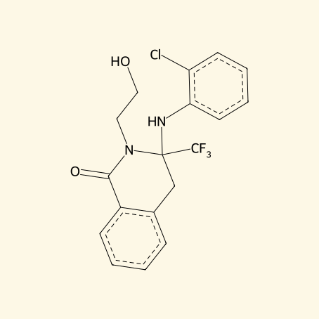 O=C1c2ccccc2CC(Nc2ccccc2Cl)(C(F)(F)F)N1CCO